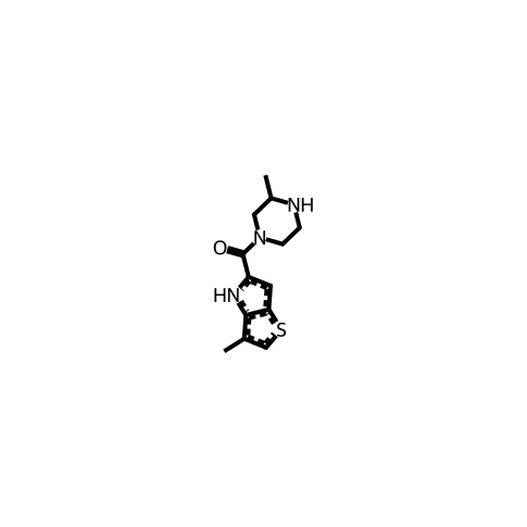 Cc1csc2cc(C(=O)N3CCNC(C)C3)[nH]c12